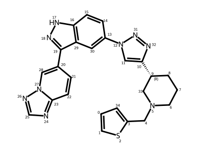 c1csc(CN2CCC[C@@H](c3cn(-c4ccc5[nH]nc(-c6ccc7ncnn7c6)c5c4)nn3)C2)c1